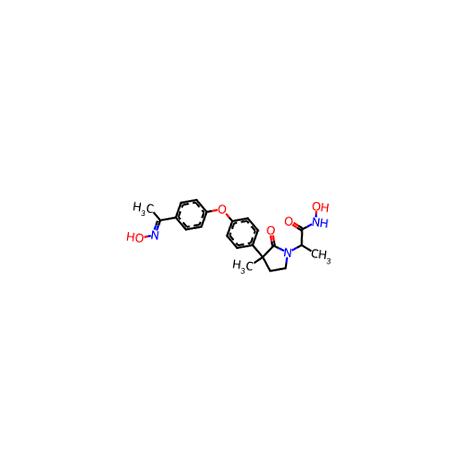 CC(=NO)c1ccc(Oc2ccc(C3(C)CCN(C(C)C(=O)NO)C3=O)cc2)cc1